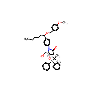 CCCCCC(OCc1ccc(OC)cc1)c1ccc(N2C(=O)C[C@@H](O[Si](c3ccccc3)(c3ccccc3)C(C)(C)C)[C@@H]2CO)cc1